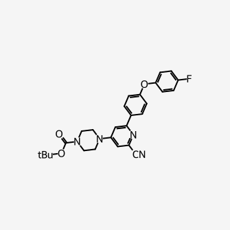 CC(C)(C)OC(=O)N1CCN(c2cc(C#N)nc(-c3ccc(Oc4ccc(F)cc4)cc3)c2)CC1